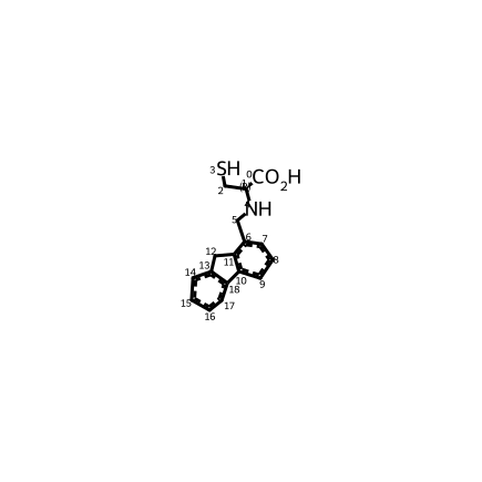 O=C(O)[C@H](CS)NCc1cccc2c1Cc1ccccc1-2